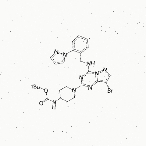 CC(C)(C)OC(=O)NC1CCN(c2nc(NCc3ccccc3-n3cccn3)n3ncc(Br)c3n2)CC1